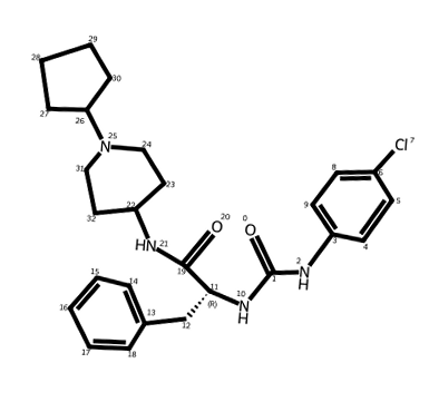 O=C(Nc1ccc(Cl)cc1)N[C@H](Cc1ccccc1)C(=O)NC1CCN(C2CCCC2)CC1